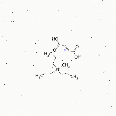 CCC[N+](C)(CCC)CCC.O=C(O)/C=C/C(=O)O